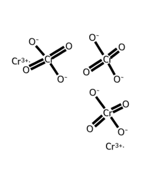 [Cr+3].[Cr+3].[O]=[Cr](=[O])([O-])[O-].[O]=[Cr](=[O])([O-])[O-].[O]=[Cr](=[O])([O-])[O-]